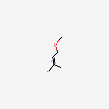 [CH2]/C(C)=C/COC